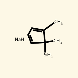 CC1=CC=CC1(C)[SiH3].[NaH]